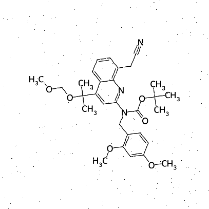 COCOC(C)(C)c1cc(N(Cc2ccc(OC)cc2OC)C(=O)OC(C)(C)C)nc2c(CC#N)cccc12